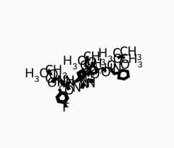 CC(C)(C)OC(=O)N[C@@H](Cc1ccc(F)cc1)C(=O)Nc1ncnn2c([C@]3(C#N)O[C@H](COC(=O)CC4(NC(=O)OC(C)(C)C)CCCCC4)[C@H]4OC(C)(C)O[C@H]43)ccc12